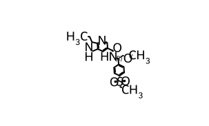 CCC1NCc2cc(C(=O)N[C@@H](COC)c3ccc(S(=O)(=O)CC)cc3)cnc21